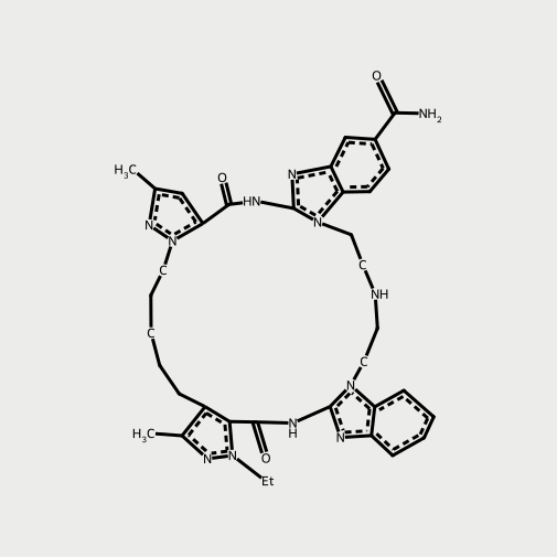 CCn1nc(C)c2c1C(=O)Nc1nc3ccccc3n1CCNCCn1c(nc3cc(C(N)=O)ccc31)NC(=O)c1cc(C)nn1CCCCC2